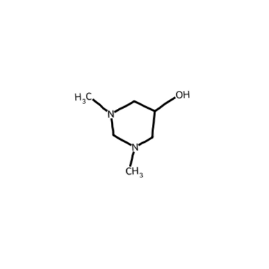 CN1CC(O)CN(C)C1